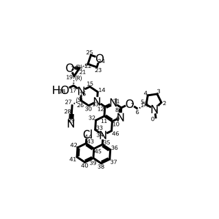 CN1CCC[C@H]1COc1nc2c(c(N3CCN(C(O)[C@@H]4O[C@@H]4C4COC4)[C@@H](CC#N)C3)n1)CCN(c1cccc3cccc(Cl)c13)C2